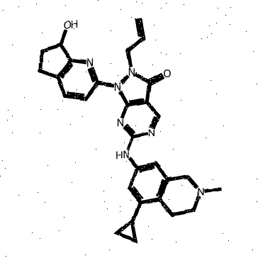 C=CCn1c(=O)c2cnc(Nc3cc4c(c(C5CC5)c3)CCN(C)C4)nc2n1-c1ccc2c(n1)C(O)CC2